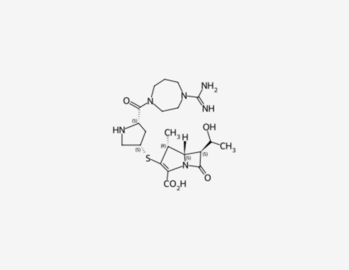 CC(O)[C@H]1C(=O)N2C(C(=O)O)=C(S[C@@H]3CN[C@H](C(=O)N4CCCN(C(=N)N)CC4)C3)[C@H](C)[C@H]12